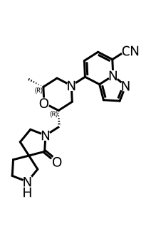 C[C@@H]1CN(c2ccc(C#N)n3nccc23)C[C@H](CN2CCC3(CCNC3)C2=O)O1